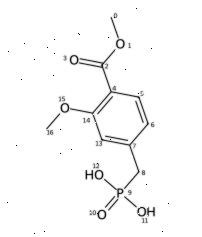 COC(=O)c1ccc(CP(=O)(O)O)cc1OC